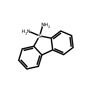 N[Si]1(N)c2ccccc2-c2ccccc21